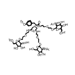 CCOc1ccc(CC(C(=O)NCCOCCOC2OC(CO)C(O)C(O)C2NC(C)=O)N(CC(=O)NCCOCCOC2OC(CO)C(O)C(O)C2NC(C)=O)CC(=O)NCCOCCOC2OC(CO)C(O)C(O)C2NC(C)=O)cc1